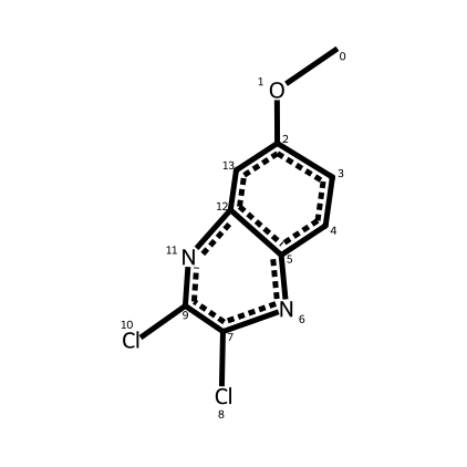 COc1ccc2nc(Cl)c(Cl)nc2c1